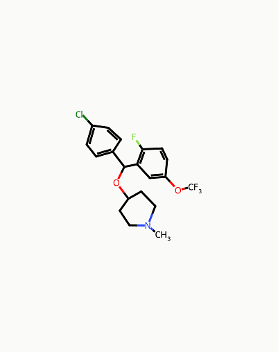 CN1CCC(OC(c2ccc(Cl)cc2)c2cc(OC(F)(F)F)ccc2F)CC1